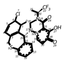 CC1C2=C(C=CC1Cl)CSc1ccccc1[C@H]2N1CN([C@@H](C)C(F)(F)F)C(=O)c2c(O)c(=O)ccn21